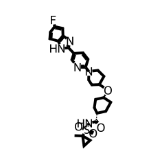 CC1(S(=O)(=O)NC(=O)[C@H]2CC[C@H](OC3CCN(c4ccc(-c5nc6cc(F)ccc6[nH]5)cn4)CC3)CC2)CC1